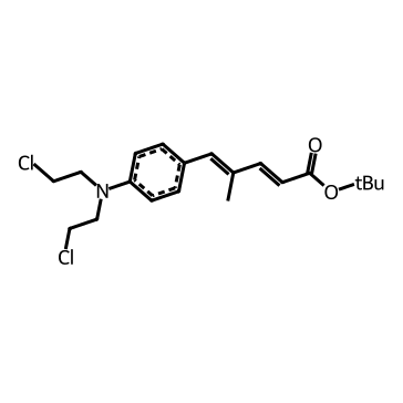 CC(/C=C/C(=O)OC(C)(C)C)=C\c1ccc(N(CCCl)CCCl)cc1